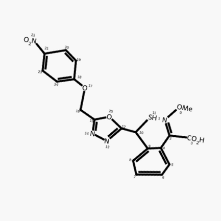 CON=C(C(=O)O)c1ccccc1C(S)c1nnc(COc2ccc([N+](=O)[O-])cc2)o1